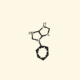 c1ccc(N2CNC3NCSC32)cc1